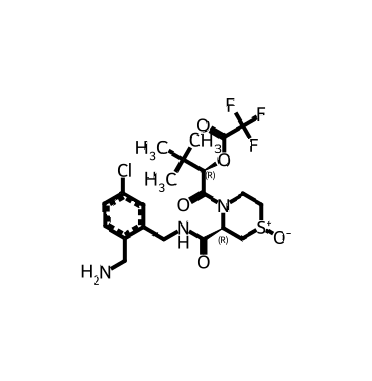 CC(C)(C)[C@@H](OC(=O)C(F)(F)F)C(=O)N1CC[S+]([O-])C[C@H]1C(=O)NCc1cc(Cl)ccc1CN